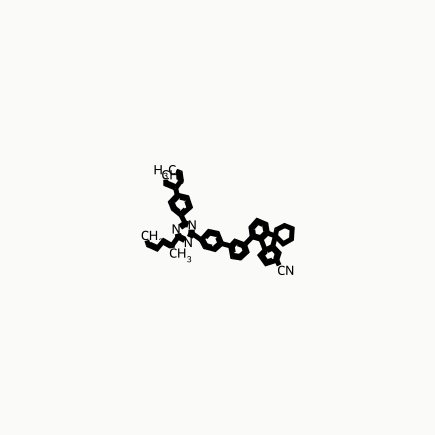 C/C=C\C=C(/C)c1nc(-c2ccc(C(/C=C\C)=C/C)cc2)nc(-c2ccc(-c3cccc(-c4cccc5c4-c4ccc(C#N)cc4C54CCCCC4)c3)cc2)n1